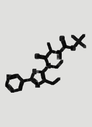 CCc1nc(-c2cccnc2)sc1N(CC)C(=O)C(C)NC(=O)OC(C)(C)C